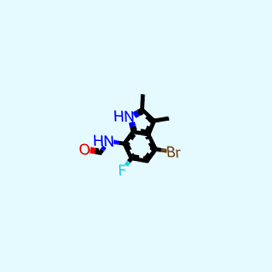 Cc1[nH]c2c(NC=O)c(F)cc(Br)c2c1C